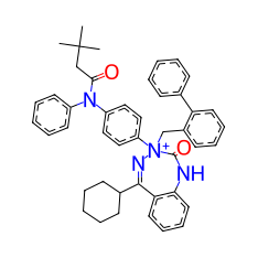 CC(C)(C)CC(=O)N(c1ccccc1)c1ccc([N+]2(Cc3ccccc3-c3ccccc3)N=C(C3CCCCC3)c3ccccc3NC2=O)cc1